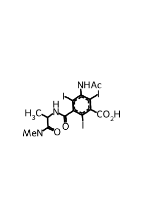 CNC(=O)C(C)NC(=O)c1c(I)c(NC(C)=O)c(I)c(C(=O)O)c1I